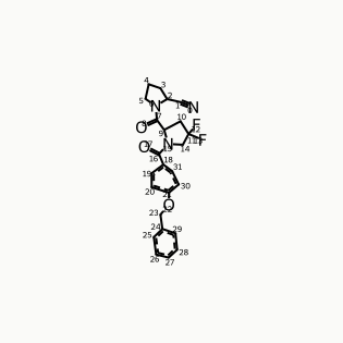 N#CC1CCCN1C(=O)C1CC(F)(F)CN1C(=O)c1ccc(OCc2ccccc2)cc1